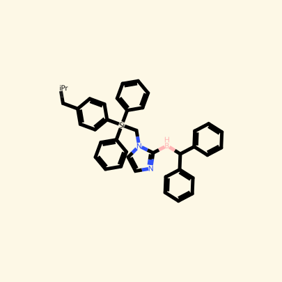 CC(C)Cc1ccc([Si](Cn2ccnc2BC(c2ccccc2)c2ccccc2)(c2ccccc2)c2ccccc2)cc1